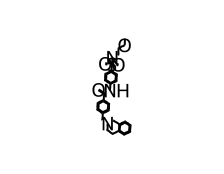 COCCN(C)S(=O)(=O)c1ccc(NC(=O)c2ccc(CN3CCc4ccccc4C3)cc2)cc1